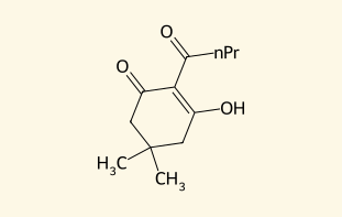 CCCC(=O)C1=C(O)CC(C)(C)CC1=O